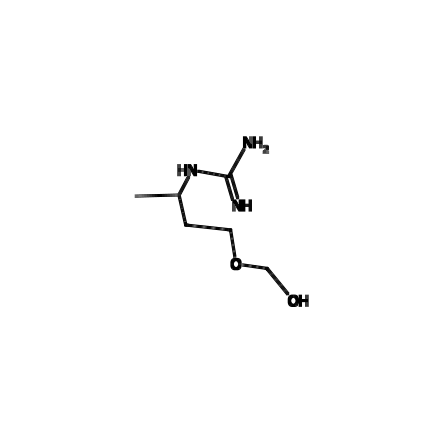 CC(CCOCO)NC(=N)N